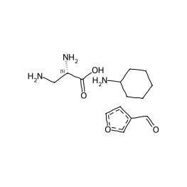 NC1CCCCC1.NC[C@H](N)C(=O)O.O=Cc1ccoc1